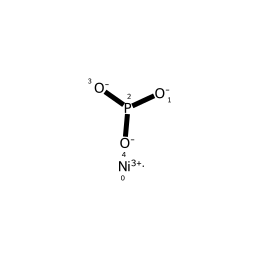 [Ni+3].[O-]P([O-])[O-]